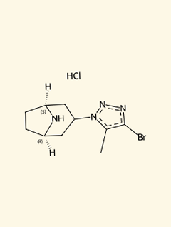 Cc1c(Br)nnn1C1C[C@H]2CC[C@@H](C1)N2.Cl